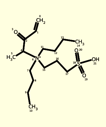 C=CC(=O)C(C)[N+](CCCC)(CCCC)CCCS(=O)(=O)O